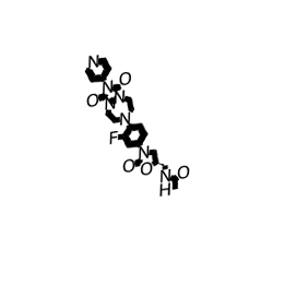 CC(=O)NC[C@H]1CN(c2ccc(N3CCn4c(=O)n(-c5ccncc5)c(=O)n4CC3)c(F)c2)C(=O)O1